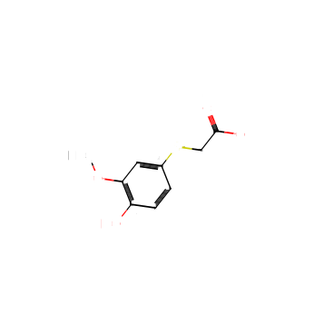 COc1cc(SCC(=O)O)ccc1O